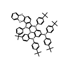 CC(C)(C)c1ccc(N(c2ccc(C(C)(C)C)cc2)c2cc3c4c(c2)N(c2ccc(C(C)(C)C)cc2)c2c(n(-c5ccccc5)c5c6c(ccc25)Sc2ccccc2O6)B4c2cc(C(C)(C)C)ccc2N3c2ccc(C(C)(C)C)cc2)cc1